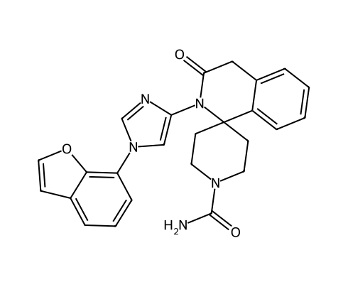 NC(=O)N1CCC2(CC1)c1ccccc1CC(=O)N2c1cn(-c2cccc3ccoc23)cn1